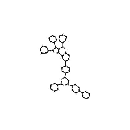 c1ccc(-c2ccc(-c3cc(-c4ccc(-c5ccc6nc(-c7ccccc7)c7c(-c8ccccc8)c(-c8ccccc8)oc7c6c5)cc4)nc(-c4ccccc4)n3)cc2)cc1